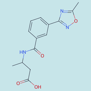 Cc1nc(-c2cccc(C(=O)NC(C)CC(=O)O)c2)no1